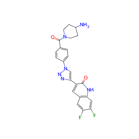 NC1CCN(C(=O)c2ccc(-n3cc(-c4cc5cc(F)c(F)cc5[nH]c4=O)nn3)cc2)CC1